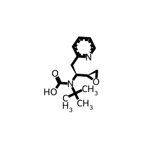 CC(C)(C)N(C(=O)O)[C@@H](Cc1ccccn1)[C@H]1CO1